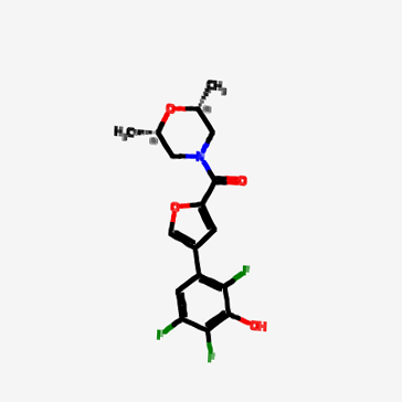 C[C@@H]1CN(C(=O)c2cc(-c3cc(F)c(F)c(O)c3F)co2)C[C@H](C)O1